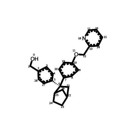 OCc1ccc([C@]2(c3ccc(OCc4ccccn4)cc3)CC3CCC2C3)cc1